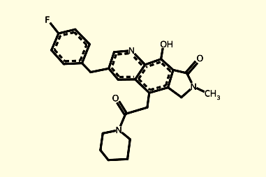 CN1Cc2c(c(O)c3ncc(Cc4ccc(F)cc4)cc3c2CC(=O)N2CCCCC2)C1=O